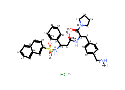 CCNCc1ccc(CC(NC(=O)CC(NS(=O)(=O)c2ccc3ccccc3c2)c2ccccc2)C(=O)N2CCCC2)cc1.Cl